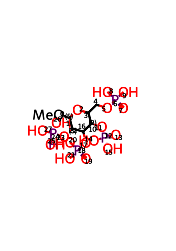 CO[C@H]1OC(COP(=O)(O)O)[C@@H](OP(=O)(O)O)C(OP(=O)(O)O)[C@@H]1O[PH](O)(O)O